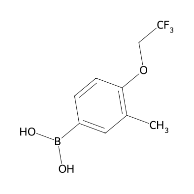 Cc1cc(B(O)O)ccc1OCC(F)(F)F